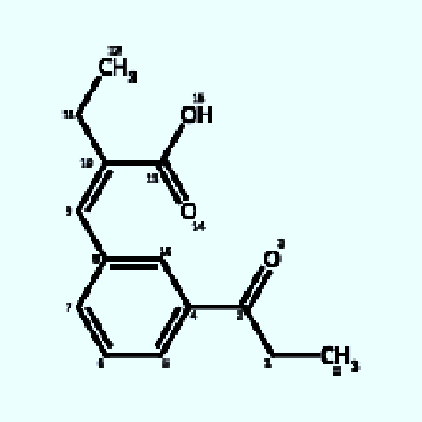 CCC(=O)c1cccc(C=C(CC)C(=O)O)c1